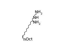 CCCCCCCC/C=C\CCCCCCCCC(N)CNCCN